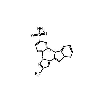 CCn1c(-c2cc(C(F)(F)F)nn2-c2ccc(S(N)(=O)=O)cc2)cc2ccccc21